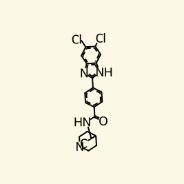 O=C(NC1CN2CCC1CC2)c1ccc(-c2nc3cc(Cl)c(Cl)cc3[nH]2)cc1